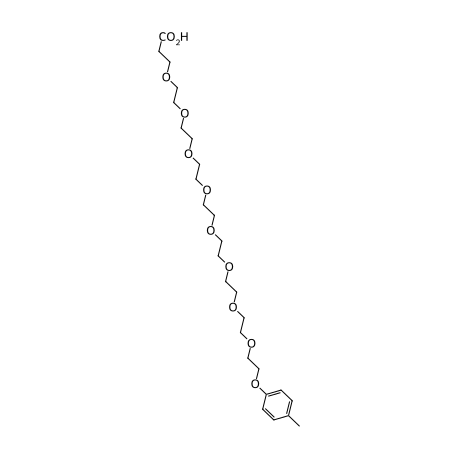 Cc1ccc(OCCOCCOCCOCCOCCOCCOCCOCCOCCC(=O)O)cc1